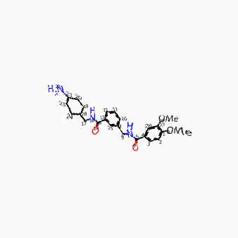 COc1ccc(C(=O)NCc2cccc(C(=O)NCC3CCC(N)CC3)c2)cc1OC